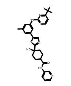 Cc1cc(Nc2nccc(C(F)(F)F)n2)cc(-c2cnc(C3(O)CCC(C(=O)Nc4cccnc4)CC3)s2)c1